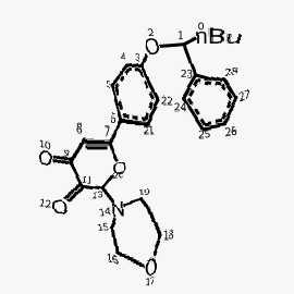 CCCCC(Oc1ccc(C2=CC(=O)C(=O)C(N3CCOCC3)O2)cc1)c1ccccc1